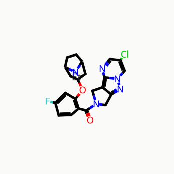 CCN1C2CCC1CC(Oc1cc(F)ccc1C(=O)N1Cc3nn4cc(Cl)cnc4c3C1)C2